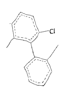 Cc1[c]ccc(Cl)c1-c1ccccc1C